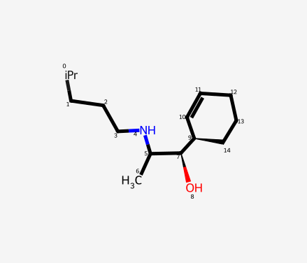 CC(C)CCCNC(C)[C@H](O)[C@H]1C=CCCC1